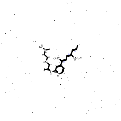 C/C=C/C(=C/C=C(\C=O)c1ccnc(OC(C)COCCB(C)C#N)c1)C(=O)OCC